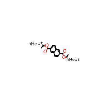 CCCCCCC[C@@H](C)OC(=O)c1ccc2cc(C(=O)O[C@H](C)CCCCCCC)ccc2c1